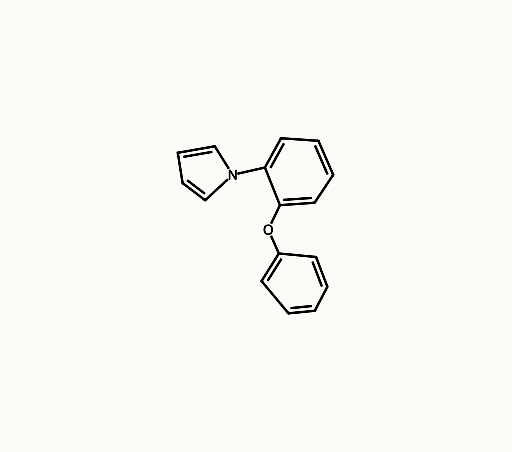 c1ccc(Oc2ccccc2-n2cccc2)cc1